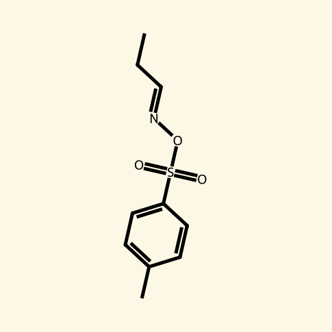 CCC=NOS(=O)(=O)c1ccc(C)cc1